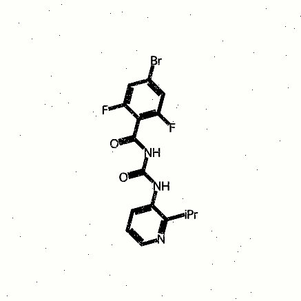 CC(C)c1ncccc1NC(=O)NC(=O)c1c(F)cc(Br)cc1F